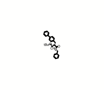 CN(OC(C)(C)C)[C@@H](Cc1ccc(-c2ccccc2)cc1)C(=O)OCc1ccccc1